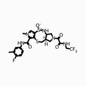 Cc1cc(NC(=O)c2c3c(cn2C)[S+]([O-])NC2CN(C(=O)C(=O)NCC(F)(F)F)C[C@H]2CS3)ccc1F